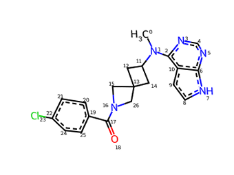 CN(c1ncnc2[nH]ccc12)C1CC2(C1)CN(C(=O)c1ccc(Cl)cc1)C2